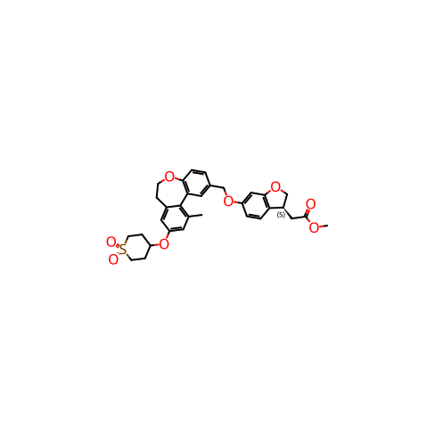 COC(=O)C[C@@H]1COc2cc(OCc3ccc4c(c3)-c3c(C)cc(OC5CCS(=O)(=O)CC5)cc3CCO4)ccc21